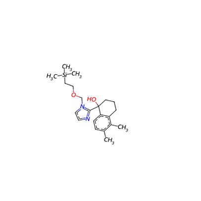 Cc1ccc2c(c1C)CCCC2(O)c1nccn1COCC[Si](C)(C)C